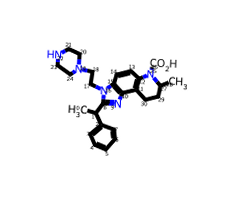 CC(c1ccccc1)c1nc2c3c(ccc2n1CCN1CCNCC1)N(C(=O)O)C(C)CC3